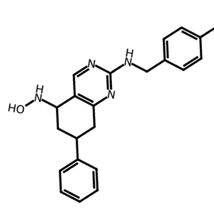 Cc1ccc(CNc2ncc3c(n2)CC(c2ccccc2)CC3NO)cc1